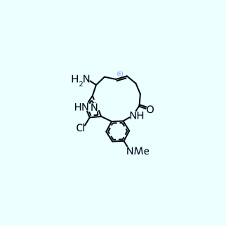 CNc1ccc2c(c1)NC(=O)CC/C=C/CC(N)c1nc-2c(Cl)[nH]1